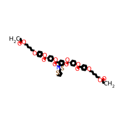 C=CC(=O)OCCCCCCOc1ccc(OC(=O)[C@H]2CC[C@H](OC(=O)c3ccc(OC(=O)[C@H]4CC[C@H](OC(=O)c5ccc(OCCCCCCOC(=O)C=C)cc5)CC4)c4sc(-c5cccs5)nc34)CC2)cc1